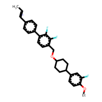 C/C=C/c1ccc(-c2ccc(COC3CCC(c4ccc(OCC)c(F)c4)CC3)c(F)c2F)cc1